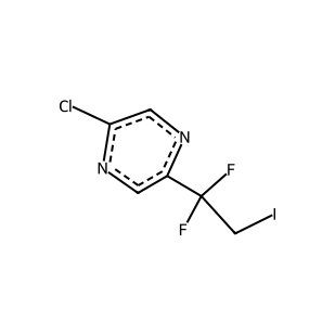 FC(F)(CI)c1cnc(Cl)cn1